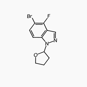 Fc1c(Br)ccc2c1cnn2C1CCCO1